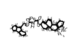 CC(=O)[C@H]1CCC2C3CCC4=C[C@H](OC(=O)[C@@H](NC(=O)OCC5c6ccccc6-c6ccccc65)C(C)C)CC[C@]4(C)C3CC[C@@]21C